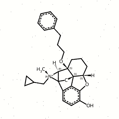 C[N@@+]1(CC2CC2)[C@@H]2C13C[C@]14c5c3ccc(O)c5O[C@H]1CCC[C@@]24OCCCc1ccccc1